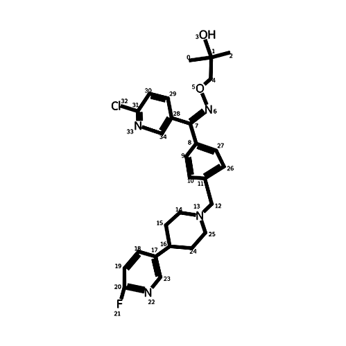 CC(C)(O)CO/N=C(/c1ccc(CN2CCC(c3ccc(F)nc3)CC2)cc1)c1ccc(Cl)nc1